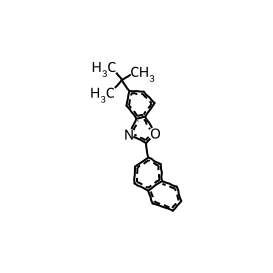 CC(C)(C)c1ccc2oc(-c3ccc4ccccc4c3)nc2c1